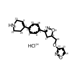 C1=C(c2ccc(C3=NOC(COc4ccon4)C3)cc2)CCNC1.Cl